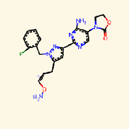 NO/C=C\Cc1cc(-c2ncc(N3CCOC3=O)c(N)n2)nn1Cc1ccccc1F